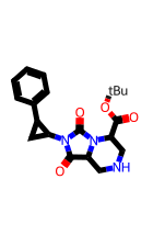 CC(C)(C)OC(=O)C1CNCC2C(=O)N(C3CC3c3ccccc3)C(=O)N12